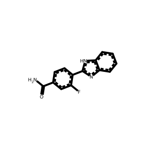 NC(=O)c1ccc(-c2nc3ccccc3[nH]2)c(F)c1